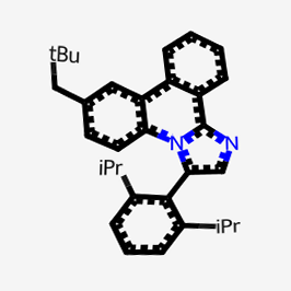 CC(C)c1cccc(C(C)C)c1-c1cnc2c3ccccc3c3cc(CC(C)(C)C)ccc3n12